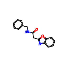 O=C(Cc1nc2ccccc2o1)NCc1ccccc1